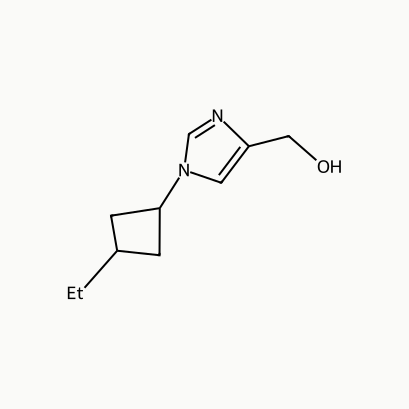 CCC1CC(n2cnc(CO)c2)C1